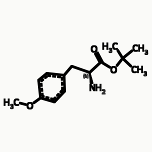 COc1ccc(C[C@H](N)C(=O)OC(C)(C)C)cc1